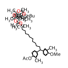 CCCC[Si](C)(C)O[Si](C)(C)O[Si](C)(C)O[Si](C)(C)O[Si](C)(C)O[Si](C)(C)CCCCCCCCCCC(c1ccc(OC)c(C)c1)c1ccc(OC(C)=O)c(C)c1